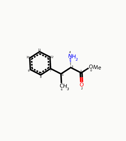 COC(=O)[C@@H](N)C(C)c1ccccc1